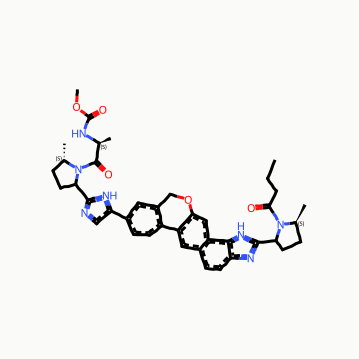 CCCC(=O)N1C(c2nc3ccc4cc5c(cc4c3[nH]2)OCc2cc(-c3cnc(C4CC[C@H](C)N4C(=O)[C@H](C)NC(=O)OC)[nH]3)ccc2-5)CC[C@@H]1C